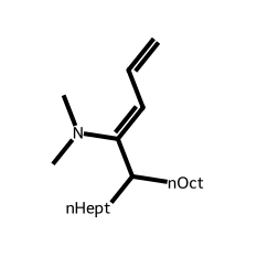 C=C/C=C(/C(CCCCCCC)CCCCCCCC)N(C)C